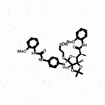 CCCCCCCCCCCCO[C@@]1(Nc2ccc(NC(=O)Nc3ccccc3OC)cc2)O[C@H]([C@H](C)C(=O)Nc2ccccc2OC)[C@@H]2OC(C)(C)O[C@@H]21